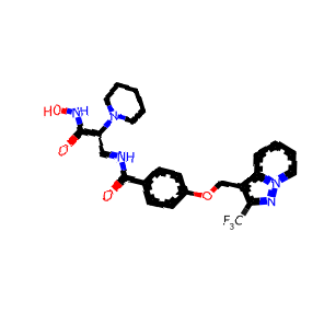 O=C(NC[C@@H](C(=O)NO)N1CCCCC1)c1ccc(OCc2c(C(F)(F)F)nn3ccccc23)cc1